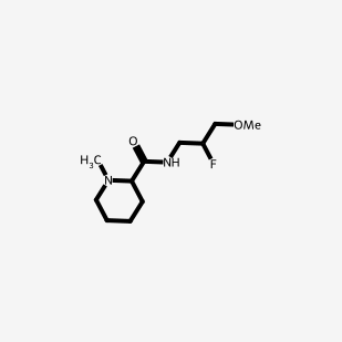 COCC(F)CNC(=O)C1CCCCN1C